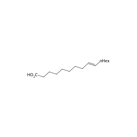 CCCCCC/C=C/CCCCCCCC(=O)O